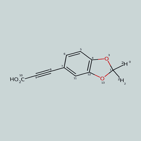 [2H]C1([2H])Oc2ccc(C#CC(=O)O)cc2O1